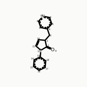 O=C1C(Cc2ccncc2)C=CI1c1ccccc1